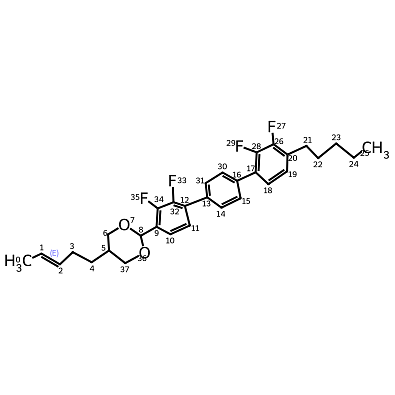 C/C=C/CCC1COC(c2ccc(-c3ccc(-c4ccc(CCCCC)c(F)c4F)cc3)c(F)c2F)OC1